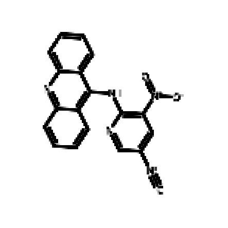 [C-]#[N+]c1cnc(Nc2c3ccccc3nc3ccccc23)c([N+](=O)[O-])c1